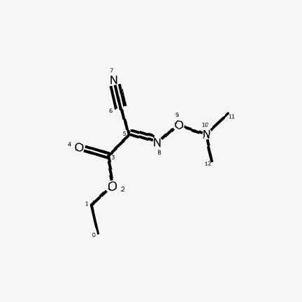 CCOC(=O)C(C#N)=NON(C)C